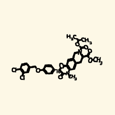 COC(=O)C1Cc2cc3c(cc2CN1C(=O)OC(C)C)O[C@@H](c1ccc(OCc2ccc(Cl)c(Cl)c2)cc1)C(=O)N3C